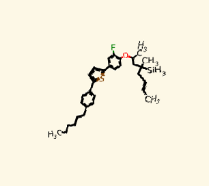 CCCCCCc1ccc(-c2ccc(-c3ccc(OC(C)CC(C)([SiH3])CCCC)c(F)c3)s2)cc1